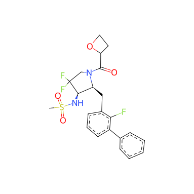 CS(=O)(=O)N[C@@H]1[C@H](Cc2cccc(-c3ccccc3)c2F)N(C(=O)C2CCO2)CC1(F)F